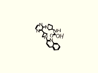 O=C(O)NC1CCN(c2nccnc2C2CN(c3ccc4ccccc4n3)C2)C1